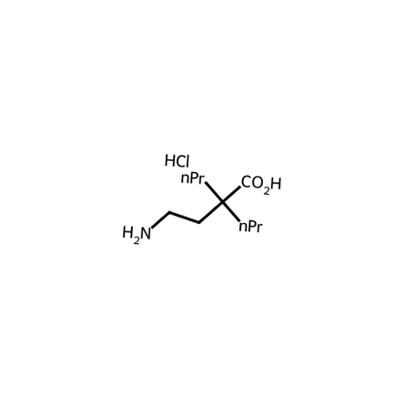 CCCC(CCC)(CCN)C(=O)O.Cl